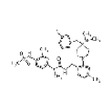 Cc1cc(C(C)C(=O)NCc2ccc(C(F)(F)F)cc2N2CCC(Cc3cccc(F)c3)(N(C)C)CC2)ccc1NS(C)(=O)=O